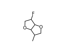 CC1COC2C(F)COC12